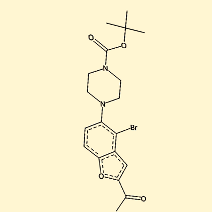 CC(=O)c1cc2c(Br)c(N3CCN(C(=O)OC(C)(C)C)CC3)ccc2o1